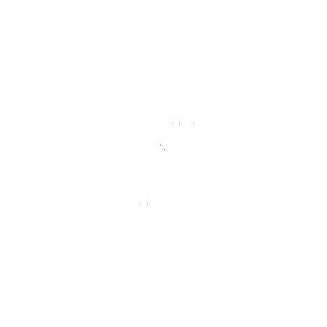 O=CCC1CCN(CC=O)CC1